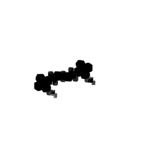 Cc1ccc(C2(c3ccc(N4C(=O)c5ccc(S(=O)(=O)c6ccc7c(c6)C(=O)N(c6ccc(C8(c9ccc(C)cc9)c9ccccc9-c9ccccc98)cc6)C7=O)cc5C4=O)cc3)c3ccccc3-c3ccccc32)cc1